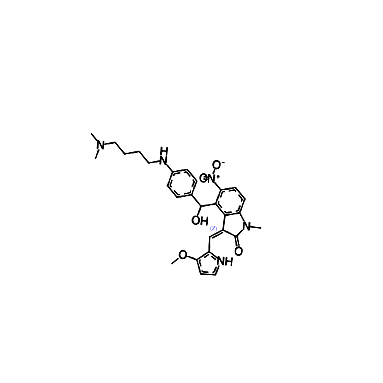 COc1cc[nH]c1/C=C1\C(=O)N(C)c2ccc([N+](=O)[O-])c(C(O)c3ccc(NCCCCN(C)C)cc3)c21